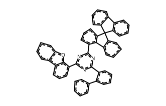 c1ccc(-c2ccccc2-c2nc(-c3cccc4c3-c3ccccc3C43c4ccccc4-c4ccccc43)nc(-c3cccc4c3oc3ccccc34)n2)cc1